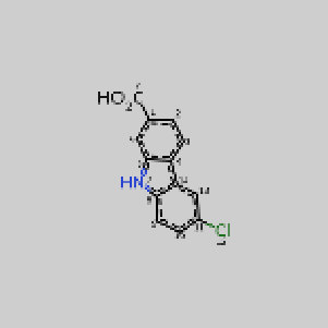 O=C(O)c1ccc2c(c1)[nH]c1ccc(Cl)cc12